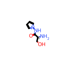 N[C@@H](CO)C(=O)Nn1cccc1